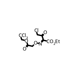 CCOC(=O)C(=NOCC(=O)OCC(Cl)(Cl)Cl)C(=O)CCl